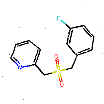 O=S(=O)(Cc1cccc(F)c1)Cc1ccccn1